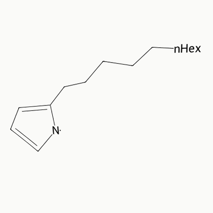 CCCCCCCCCCCC1=CC=C[N]1